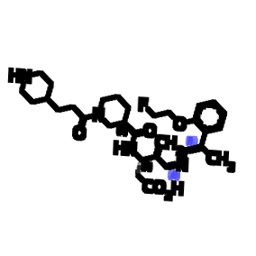 C=C(/C=N\C=C(/C)c1ccccc1OCCF)[C@H](CC(=O)O)NC(=O)[C@@H]1CCCN(C(=O)CCC2CCNCC2)C1